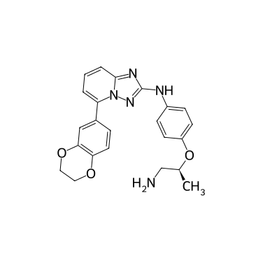 C[C@@H](CN)Oc1ccc(Nc2nc3cccc(-c4ccc5c(c4)OCCO5)n3n2)cc1